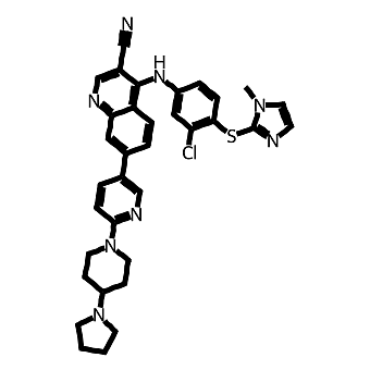 Cn1ccnc1Sc1ccc(Nc2c(C#N)cnc3cc(-c4ccc(N5CCC(N6CCCC6)CC5)nc4)ccc23)cc1Cl